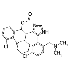 CN(C)Cc1ccc(Cl)cc1-c1[nH]cnc1C(C1CCCCC1)C(OC=O)c1cccc(Cl)c1F